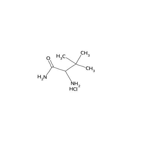 CC(C)(C)C(N)C(N)=O.Cl